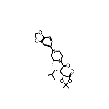 CC(C)C[C@H](C(=O)N1CCN(c2ccc3c(c2)OCO3)C[C@H]1C)[C@@H]1OC(C)(C)OC1=O